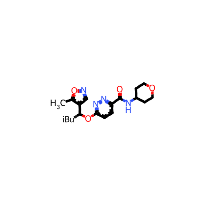 CCC(C)C(Oc1ccc(C(=O)NC2CCOCC2)nn1)c1cnoc1C